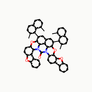 Cc1ccc2cccc(C)c2c1-c1cc2cc(-c3c(C)ccc4cccc(C)c34)c3oc4ccc5oc6ccccc6c5c4n4c(=O)n5c6ccc7c8ccccc8oc7c6oc1c5c2c34